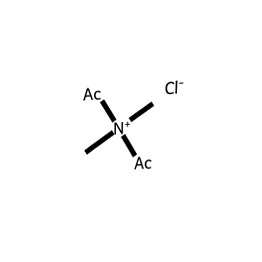 CC(=O)[N+](C)(C)C(C)=O.[Cl-]